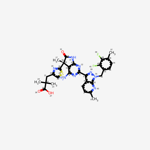 Cc1ccc2c(-c3nc(N)c4c(n3)NC(=O)[C@@]4(C)c3nc(CC(C)(C)C(=O)O)cs3)nn(Cc3ccc(C)c(F)c3F)c2n1